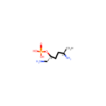 NC[C@@H](CC[C@H](N)C(=O)O)OP(=O)(O)O